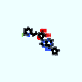 O[C@@H]1[C@H](O)[C@@H](C=Cc2cccc(F)n2)O[C@H]1n1cnc2c(NC3CCCC3)ncnc21